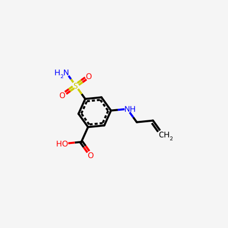 C=CCNc1cc(C(=O)O)cc(S(N)(=O)=O)c1